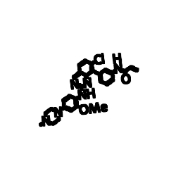 C=CC(=O)Nc1cccc(-c2c(Cl)ccc3cnc(Nc4ccc(N5CCN(C)CC5)cc4OC)nc23)c1